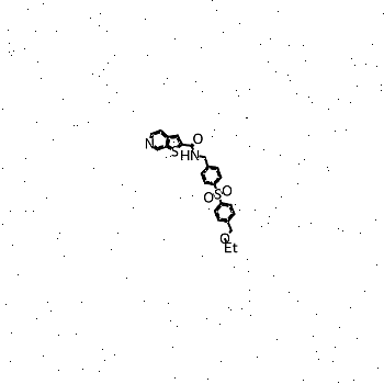 CCOCc1ccc(S(=O)(=O)c2ccc(CNC(=O)c3cc4ccncc4s3)cc2)cc1